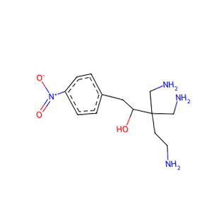 NCCC(CN)(CN)C(O)Cc1ccc([N+](=O)[O-])cc1